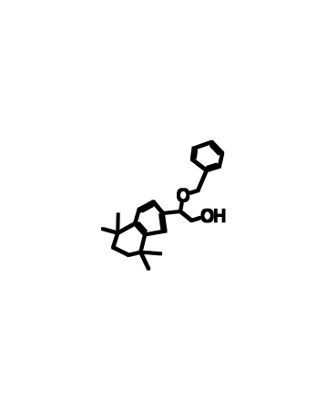 CC1(C)CCC(C)(C)c2cc(C(CO)OCc3ccccc3)ccc21